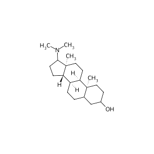 CN(C)C1CC[C@H]2[C@@H]3CCC4CC(O)CC[C@]4(C)[C@@H]3CC[C@]12C